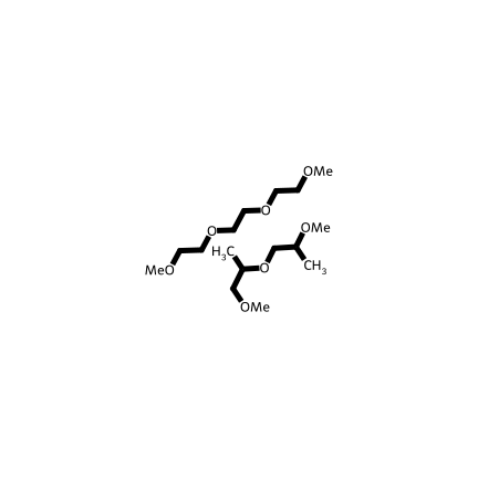 COCC(C)OCC(C)OC.COCCOCCOCCOC